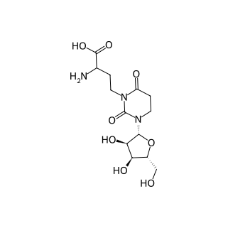 NC(CCN1C(=O)CCN([C@@H]2O[C@H](CO)[C@@H](O)[C@H]2O)C1=O)C(=O)O